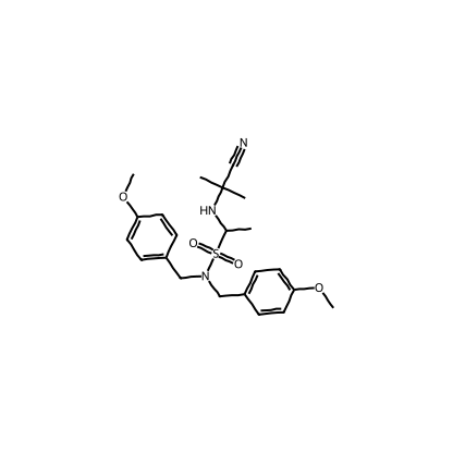 COc1ccc(CN(Cc2ccc(OC)cc2)S(=O)(=O)C(C)NC(C)(C)C#N)cc1